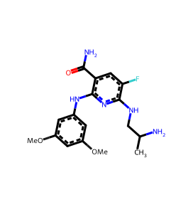 COc1cc(Nc2nc(NCC(C)N)c(F)cc2C(N)=O)cc(OC)c1